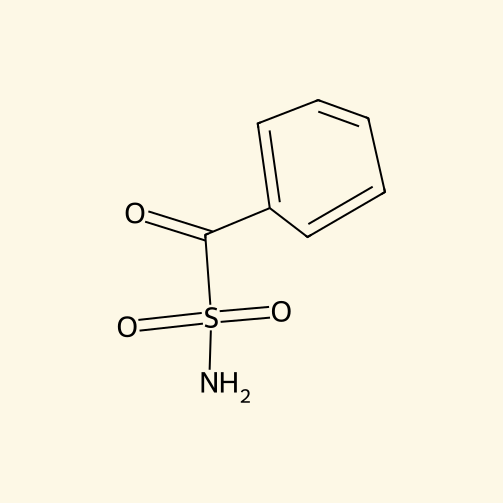 NS(=O)(=O)C(=O)c1ccccc1